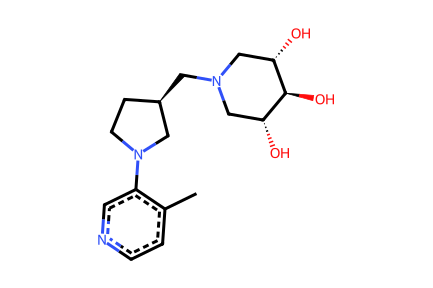 Cc1ccncc1N1CC[C@@H](CN2C[C@@H](O)[C@H](O)[C@@H](O)C2)C1